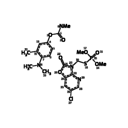 CNC(=O)Oc1ccc(N(C)C)c(C)c1.COP(=O)(OC)SCn1c(=O)oc2cc(Cl)cnc21